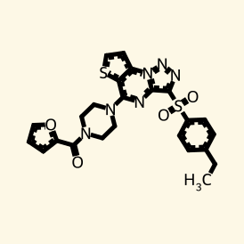 CCc1ccc(S(=O)(=O)c2nnn3c2nc(N2CCN(C(=O)c4ccco4)CC2)c2sccc23)cc1